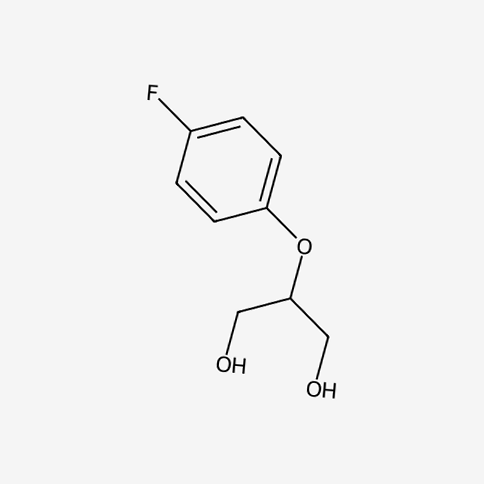 OCC(CO)Oc1ccc(F)cc1